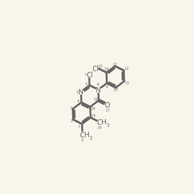 Cc1ccc2nc(Cl)n(-c3ccccc3Cl)c(=O)c2c1C